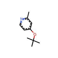 Cc1cc(OC(C)(C)C)ccn1